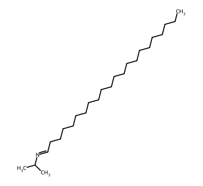 CCCCCCCCCCCCCCCCCCCCC/C=N/C(C)C